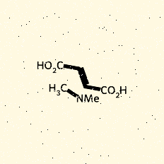 CNC.O=C(O)C=CC(=O)O